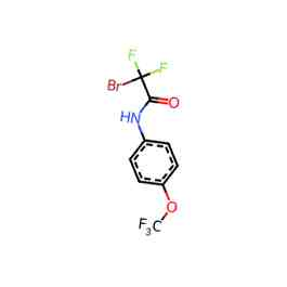 O=C(Nc1ccc(OC(F)(F)F)cc1)C(F)(F)Br